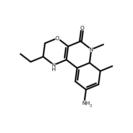 CCC1COC2=C(N1)C1=CC(N)=CC(C)C1N(C)C2=O